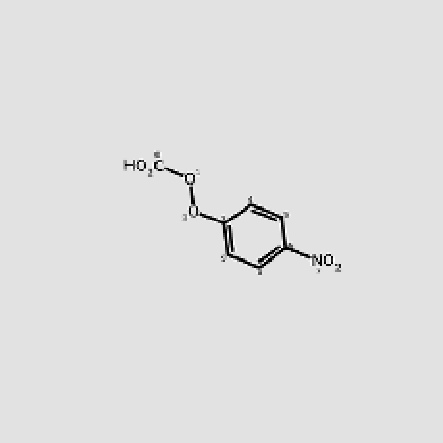 O=C(O)OOc1ccc([N+](=O)[O-])cc1